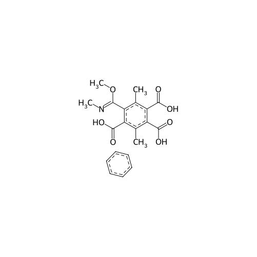 CN=C(OC)c1c(C)c(C(=O)O)c(C(=O)O)c(C)c1C(=O)O.c1ccccc1